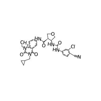 CCn1c(=O)n(CC2CC2)c(=O)c2cc(NC(=O)[C@H]3COC[C@H]3NC(=O)Nc3ccc(C#N)c(Cl)c3)ccc21